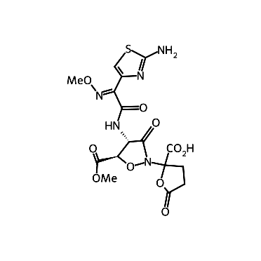 CON=C(C(=O)N[C@@H]1C(=O)N(C2(C(=O)O)CCC(=O)O2)O[C@H]1C(=O)OC)c1csc(N)n1